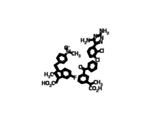 CC(C(=O)O)c1cccc(C(=O)c2ccccc2)c1.CC1=C(CC(=O)O)c2cc(F)ccc2/C1=C\c1ccc([S+](C)[O-])cc1.Nc1nnc(-c2cccc(Cl)c2Cl)c(N)n1